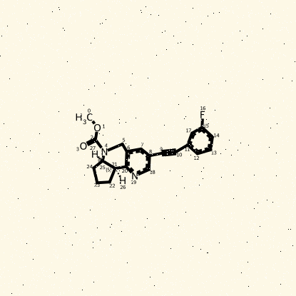 COC(=O)N1Cc2cc(C#Cc3cccc(F)c3)cnc2[C@H]2CCC[C@H]21